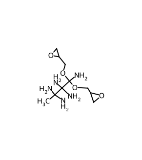 CC(N)(N)C(N)(N)C(N)(OCC1CO1)OCC1CO1